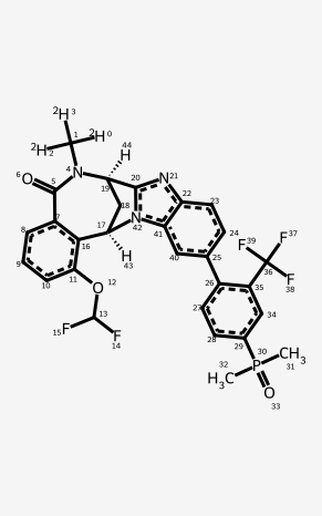 [2H]C([2H])([2H])N1C(=O)c2cccc(OC(F)F)c2[C@H]2C[C@@H]1c1nc3ccc(-c4ccc(P(C)(C)=O)cc4C(F)(F)F)cc3n12